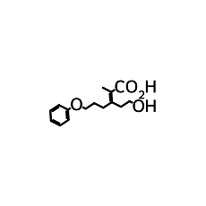 CC(C(=O)O)=C(CCO)CCCOc1ccccc1